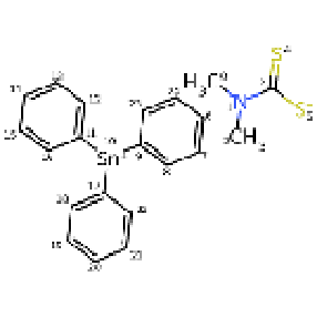 CN(C)C(=S)[S-].c1cc[c]([Sn+]([c]2ccccc2)[c]2ccccc2)cc1